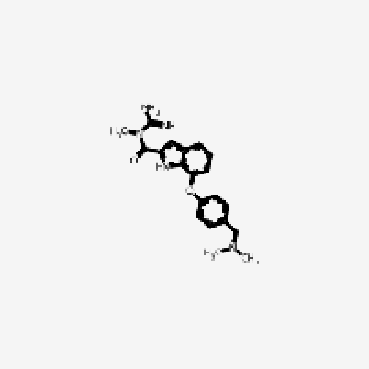 CN(C)Cc1ccc(Oc2cccc3cc(C(=O)N(C)C(=N)N)[nH]c23)cc1